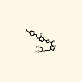 CCc1ccc(COc2ccc(C3CN(C(=O)c4cc(CCCC(CO)CO)ccn4)C3)cc2OC)cc1